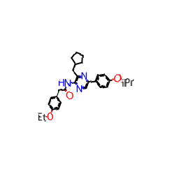 CCOc1ccc(CC(=O)Nc2ncc(-c3ccc(OC(C)C)cc3)nc2CC2CCCC2)cc1